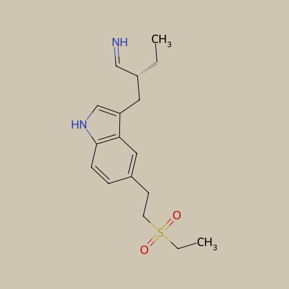 CC[C@@H](C=N)Cc1c[nH]c2ccc(CCS(=O)(=O)CC)cc12